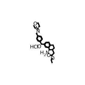 CCOC(=O)CC1CCc2ccc(C(=O)c3ccc(C=NN4CCOCC4)cc3)cc2C1N.Cl